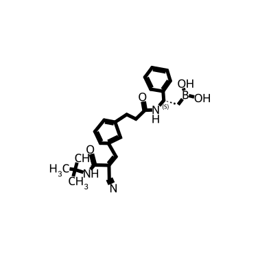 CC(C)(C)NC(=O)C(C#N)=Cc1cccc(CCC(=O)N[C@@H](CB(O)O)c2ccccc2)c1